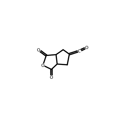 O=C=C1CC2C(=O)OC(=O)C2C1